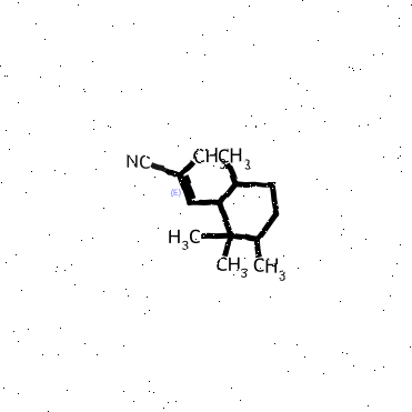 C/C(C#N)=C\C1C(C)CCC(C)C1(C)C